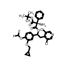 CC(C)(C)OC(=O)[C@@](N)(C(=O)OC(Cc1c(Cl)cncc1Cl)c1ccc(OC(F)F)c(OCC2CC2)c1)c1ccccc1